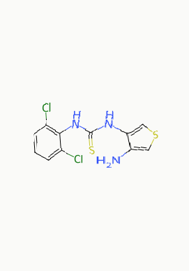 Nc1cscc1NC(=S)Nc1c(Cl)cccc1Cl